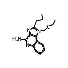 CCCCn1c(CCC)nc2c(N)nc3ccccc3c21